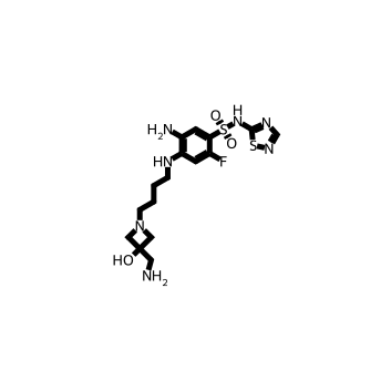 NCC1(O)CN(CCCCNc2cc(F)c(S(=O)(=O)Nc3ncns3)cc2N)C1